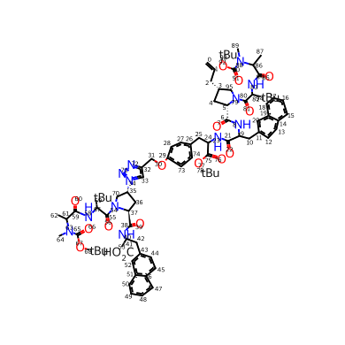 C=CC[C@H]1C[C@@H](C(=O)NC(Cc2ccc3ccccc3c2)C(=O)NC(Cc2ccc(OCc3cn([C@@H]4C[C@@H](C(=O)NC(Cc5ccc6ccccc6c5)C(=O)O)N(C(=O)C(NC(=O)C(C)N(C)C(=O)OC(C)(C)C)C(C)(C)C)C4)nn3)cc2)C(=O)OC(C)(C)C)N(C(=O)C(NC(=O)C(C)N(C)C(=O)OC(C)(C)C)C(C)(C)C)C1